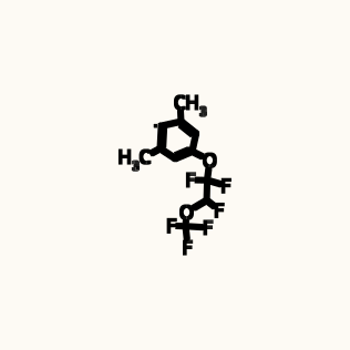 Cc1[c]c(C)cc(OC(F)(F)C(F)OC(F)(F)F)c1